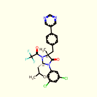 CC(C)C[C@H]1N(c2cc(Cl)cc(Cl)c2)C(=O)[C@@](C)(Cc2ccc(-c3cncnc3)cc2)N1C(=O)C(F)(F)F